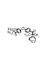 CC(C)(O)C(=O)c1ccc(Oc2ccc(C(=O)C(C)(C)N3CCOCC3)cc2)cc1